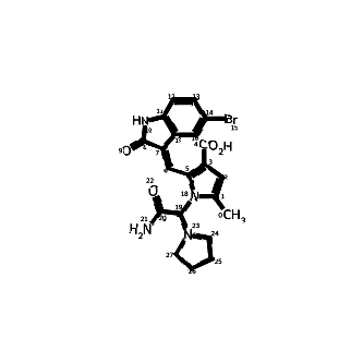 Cc1cc(C(=O)O)c(C=C2C(=O)Nc3ccc(Br)cc32)n1C(C(N)=O)N1CCCC1